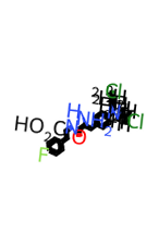 [2H]C([2H])(Cl)C([2H])([2H])N(c1ccc(C[C@H](N)C(=O)N[C@@H](Cc2ccc(F)cc2)C(=O)O)cc1)C([2H])([2H])C([2H])([2H])Cl